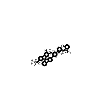 CC(C)(C)c1ccc2c(c1)C1(c3ccccc3-c3ccc(-c4ccc(-c5ccc6c(c5)C(C)(C)c5ccccc5O6)cc4)cc31)c1cc(C(C)(C)C)ccc1-2